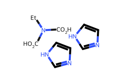 CCN(C(=O)O)C(=O)O.c1c[nH]cn1.c1c[nH]cn1